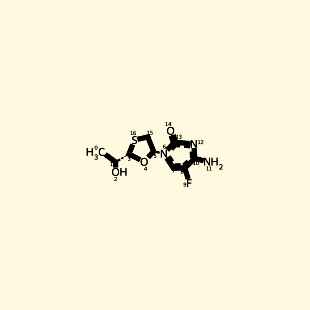 CC(O)[C@H]1O[C@@H](n2cc(F)c(N)nc2=O)CS1